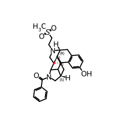 CS(=O)(=O)CCN1CC[C@@]23c4cc(O)ccc4C[C@@H]1[C@]21CCC2C3[C@@H](CN2C(=O)c2ccccc2)C1